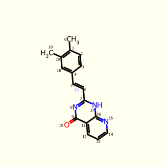 Cc1ccc(/C=C/c2nc(=O)c3cccnc3[nH]2)cc1C